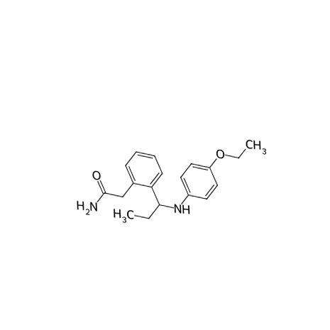 CCOc1ccc(NC(CC)c2ccccc2CC(N)=O)cc1